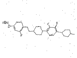 CCCCOc1ccc(CCC2CCC(c3ccc(C4CCC(C)CC4)c(F)c3F)CC2)c(F)c1